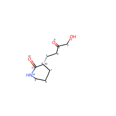 O=C(CO)CC[C@@H]1CCCNC1=O